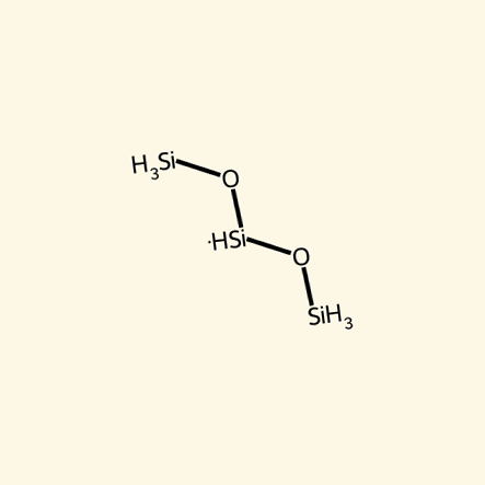 [SiH3]O[SiH]O[SiH3]